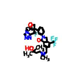 CN(CCC(C)(C)O)Cc1cc2c(c(C(F)(F)F)c1)CN(c1cccc(C3([C@@H](F)c4nncn4C)COC3)c1)C2=O